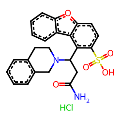 Cl.NC(=O)CC(c1c(S(=O)(=O)O)ccc2oc3ccccc3c12)N1CCc2ccccc2C1